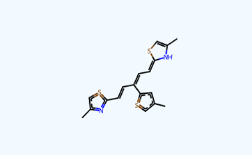 CC1=CS\C(=C/C=C(/C=C/c2nc(C)cs2)c2cc(C)cs2)N1